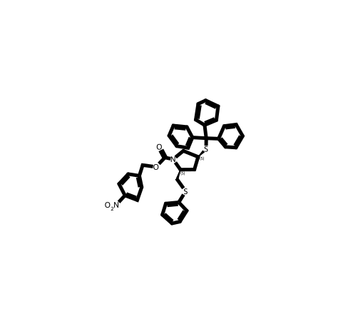 O=C(OCc1ccc([N+](=O)[O-])cc1)N1C[C@@H](SC(c2ccccc2)(c2ccccc2)c2ccccc2)C[C@H]1CSc1ccccc1